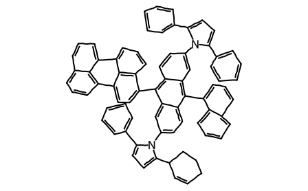 C1=CC(c2ccc(-c3ccccc3)n2-c2ccc3c(-c4cccc5ccccc45)c4cc(-n5c(-c6ccccc6)ccc5-c5ccccc5)ccc4c(-c4ccc5c6cccc7cccc(c8cccc4c85)c76)c3c2)CCC1